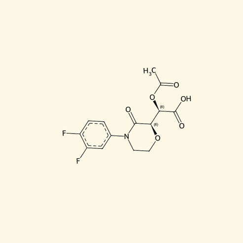 CC(=O)O[C@@H](C(=O)O)[C@H]1OCCN(c2ccc(F)c(F)c2)C1=O